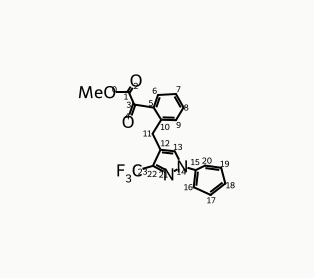 COC(=O)C(=O)c1ccccc1Cc1cn(-c2ccccc2)nc1C(F)(F)F